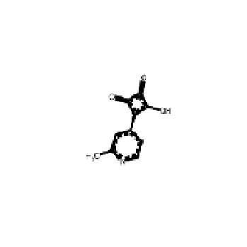 Cc1cc(-c2c(O)c(=O)c2=O)ccn1